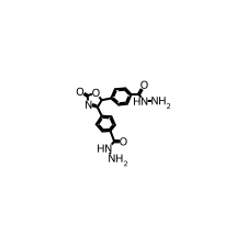 NNC(=O)c1ccc(C2=NC(=O)OC2c2ccc(C(=O)NN)cc2)cc1